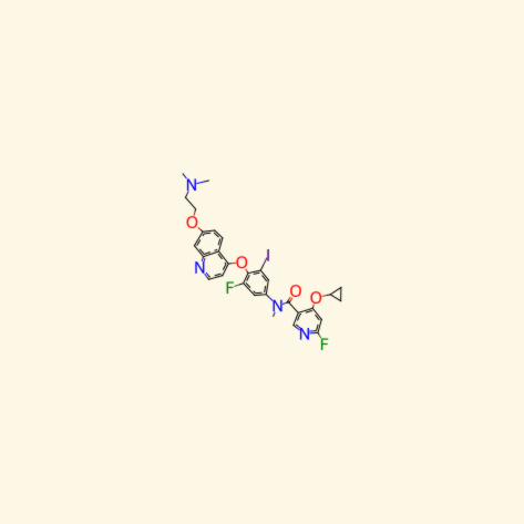 CN(C)CCOc1ccc2c(Oc3c(F)cc(N(C)C(=O)c4cnc(F)cc4OC4CC4)cc3I)ccnc2c1